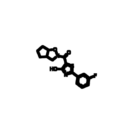 O=C(c1sc(-c2cccc(F)c2)nc1O)N1CC2CCCC2O1